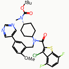 COc1ccc(-c2cncnc2)cc1CN(C(=O)c1sc2c(F)ccc(F)c2c1Cl)[C@H]1CC[C@H](N(C)C(=O)OC(C)(C)C)CC1